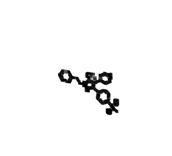 CS(=O)(=O)c1ccc(-c2nn(CCc3ccccc3)c(C(F)(F)F)c2-c2ccncc2)cc1